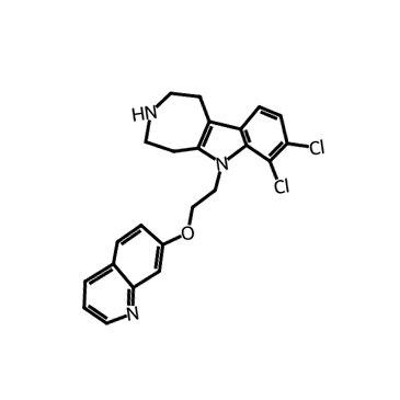 Clc1ccc2c3c(n(CCOc4ccc5cccnc5c4)c2c1Cl)CCNCC3